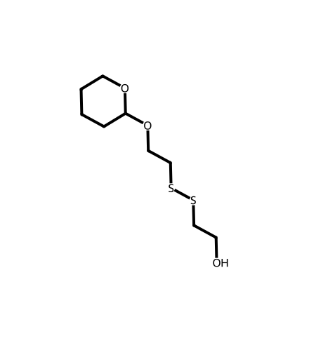 OCCSSCCOC1CCCCO1